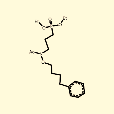 CCOP(=O)(CCCN(OCCCCc1ccccc1)C(C)=O)OCC